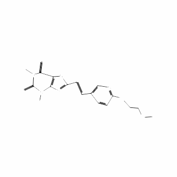 CCOCCOc1ccc(C=Cc2nc3c([nH]2)c(=O)n(CC)c(=O)n3CC)cn1